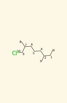 CCC(C)CCCC(C)CCl